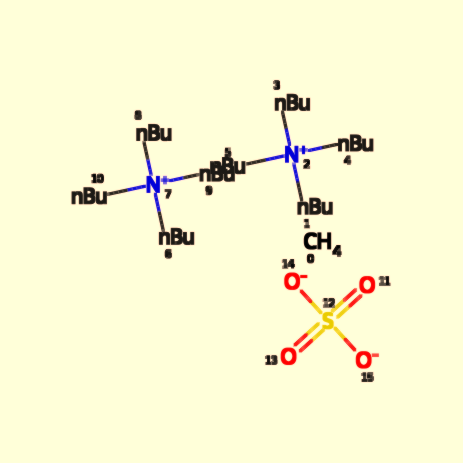 C.CCCC[N+](CCCC)(CCCC)CCCC.CCCC[N+](CCCC)(CCCC)CCCC.O=S(=O)([O-])[O-]